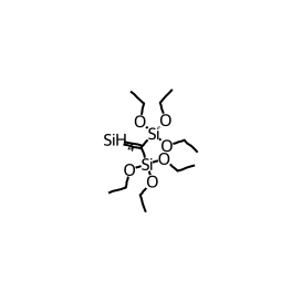 C=C([Si](OCC)(OCC)OCC)[Si](OCC)(OCC)OCC.[SiH4]